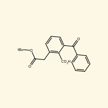 CC(C)(C)OC(=O)Cc1cccc(C(=O)c2ccccc2)c1C(=O)O